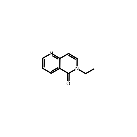 CCn1ccc2ncccc2c1=O